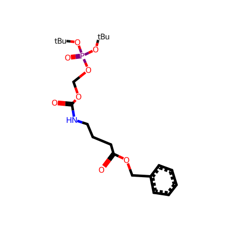 CC(C)(C)OP(=O)(OCOC(=O)NCCCC(=O)OCc1ccccc1)OC(C)(C)C